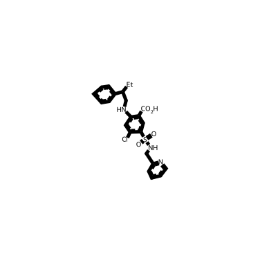 CCC(CNc1cc(Cl)c(S(=O)(=O)NCc2ccccn2)cc1C(=O)O)c1ccccc1